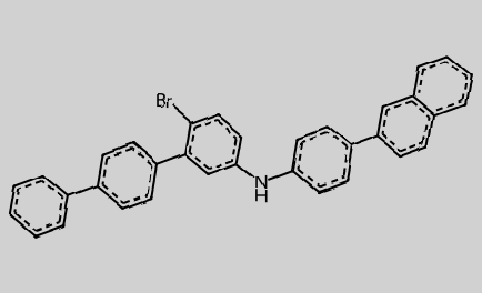 Brc1ccc(Nc2ccc(-c3ccc4ccccc4c3)cc2)cc1-c1ccc(-c2ccccc2)cc1